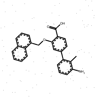 Cc1c(N)cccc1-c1ccc(C(=O)O)c(OCc2cccc3ccccc23)c1